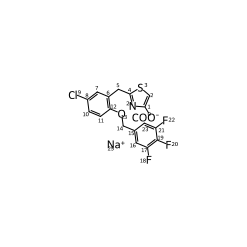 O=C([O-])c1csc(Cc2cc(Cl)ccc2OCc2cc(F)c(F)c(F)c2)n1.[Na+]